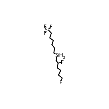 FCCCCC(F)C[SiH2]CCCCCC[Si](F)(F)F